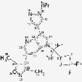 [2H]C([2H])(C1CC(F)(F)C1)n1cc(-c2cnn(CCC)c2)c2ncc(-c3c(C)noc3C)cc21